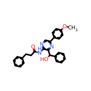 COc1ccc(-c2cnc(NC(=O)CCc3ccccc3)c(C(O)c3ccccc3)n2)cc1